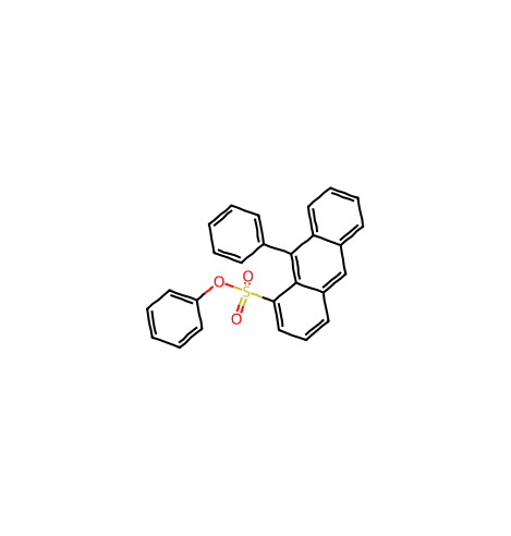 O=S(=O)(Oc1ccccc1)c1cccc2cc3ccccc3c(-c3ccccc3)c12